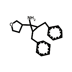 NC1(C2CCOC2)C(Cc2ccccc2)C1Cc1ccccc1